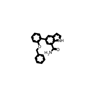 NC(=O)c1cc(-c2ccccc2OCc2ccccc2)cc2cc[nH]c12